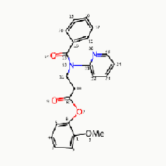 COc1ccccc1OC(=O)CCN(C(=O)C1=CC=C=C=C1)c1ccccn1